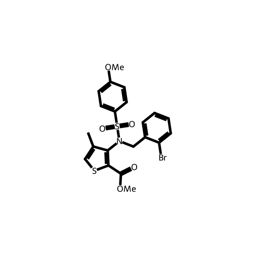 COC(=O)c1scc(C)c1N(Cc1ccccc1Br)S(=O)(=O)c1ccc(OC)cc1